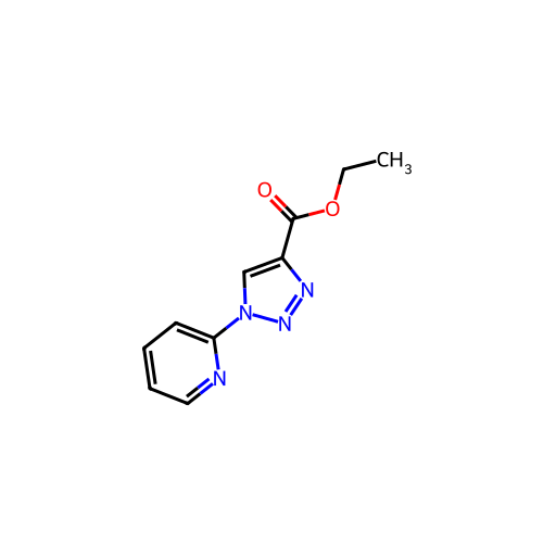 CCOC(=O)c1cn(-c2ccccn2)nn1